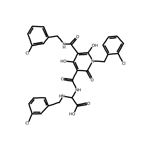 O=C(NCc1cccc(Cl)c1)c1c(O)c(C(=O)NC(NCc2cccc(Cl)c2)C(=O)O)c(=O)n(Cc2ccccc2Cl)c1O